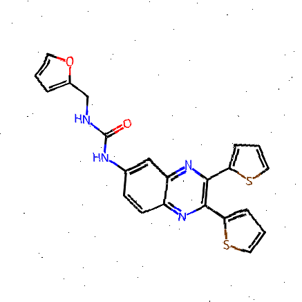 O=C(NCc1ccco1)Nc1ccc2nc(-c3cccs3)c(-c3cccs3)nc2c1